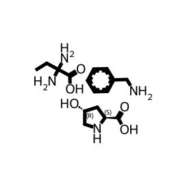 CCC(N)(N)C(=O)O.NCc1ccccc1.O=C(O)[C@@H]1C[C@@H](O)CN1